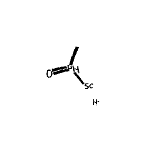 C[PH](=O)[Sc].[H-]